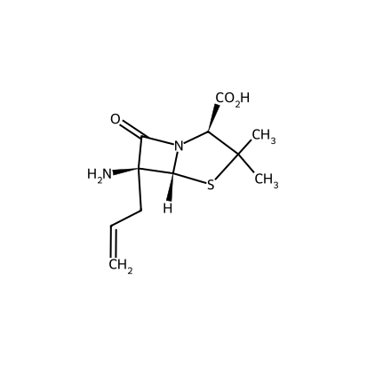 C=CC[C@]1(N)C(=O)N2[C@@H](C(=O)O)C(C)(C)S[C@@H]21